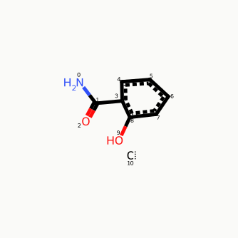 NC(=O)c1ccccc1O.[C]